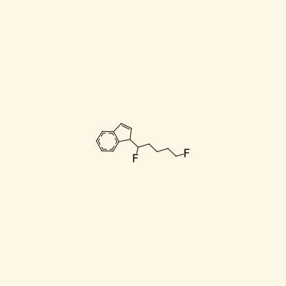 FCCCCC(F)C1C=Cc2ccccc21